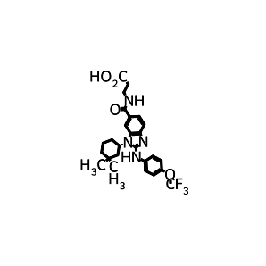 CC1(C)CCC[C@H](n2c(Nc3ccc(OC(F)(F)F)cc3)nc3ccc(C(=O)NCCC(=O)O)cc32)C1